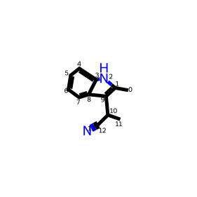 Cc1[nH]c2ccccc2c1C(C)C#N